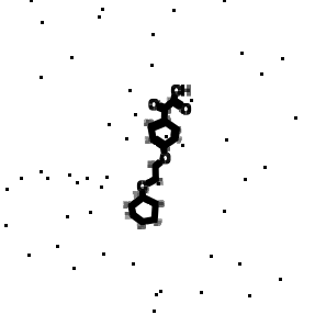 O=C(O)C(=O)c1ccc(OCCOC2CCCCC2)cc1